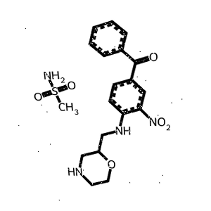 CS(N)(=O)=O.O=C(c1ccccc1)c1ccc(NCC2CNCCO2)c([N+](=O)[O-])c1